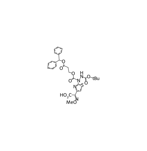 CO/N=C(\C(=O)O)c1csc(N(NC(=O)OC(C)(C)C)C(=O)OCCC(=O)OC(c2ccccc2)c2ccccc2)n1